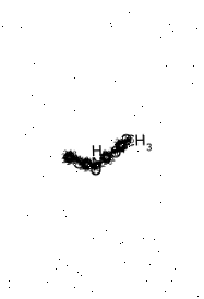 COc1ccc(OC[C@H]2CC[C@@H](CNC(=O)c3ccc(OCc4ccccc4)cc3)CC2)cc1